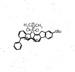 CCCC1=Cc2c(-c3ccccc3)cccc2[CH]1[Zr]([Cl])([Cl])([c]1c(C(C)(C)C)ccc2c1Cc1cc(C(C)(C)C)ccc1-2)[SiH](C)C